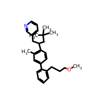 COCCCc1ccccc1-c1ccc(C([CH]C(C)(C)C)Cc2cccnc2)c(C)c1